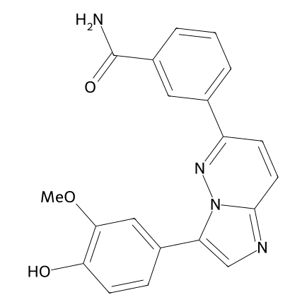 COc1cc(-c2cnc3ccc(-c4cccc(C(N)=O)c4)nn23)ccc1O